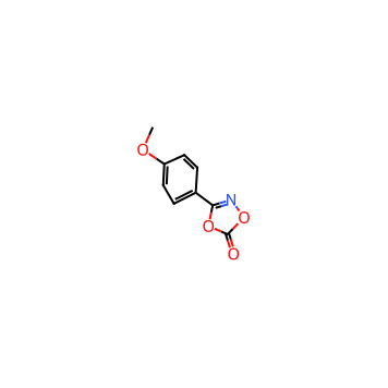 COc1ccc(-c2noc(=O)o2)cc1